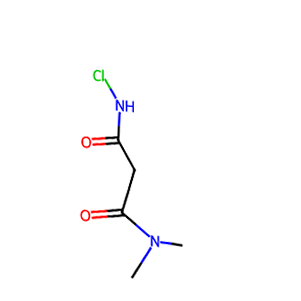 CN(C)C(=O)CC(=O)NCl